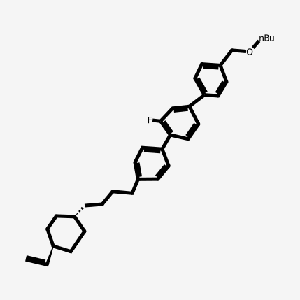 C=C[C@H]1CC[C@H](CCCCc2ccc(-c3ccc(-c4ccc(COCCCC)cc4)cc3F)cc2)CC1